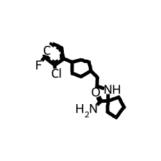 NC(=O)C1(NCCC2CCC(c3cccc(F)c3Cl)CC2)CCCC1